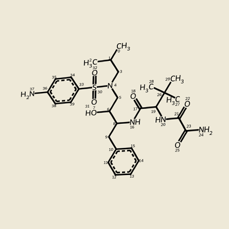 CC(C)CN(CC(O)C(Cc1ccccc1)NC(=O)C(NC(=O)C(N)=O)C(C)(C)C)S(=O)(=O)c1ccc(N)cc1